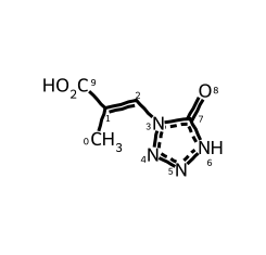 CC(=Cn1nn[nH]c1=O)C(=O)O